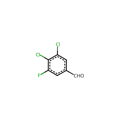 O=Cc1cc(F)c(Cl)c(Cl)c1